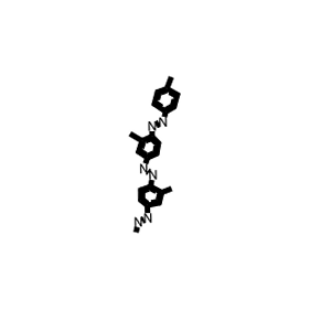 CN=Nc1ccc(N=Nc2ccc(N=Nc3ccc(C)cc3)c(C)c2)c(C)c1